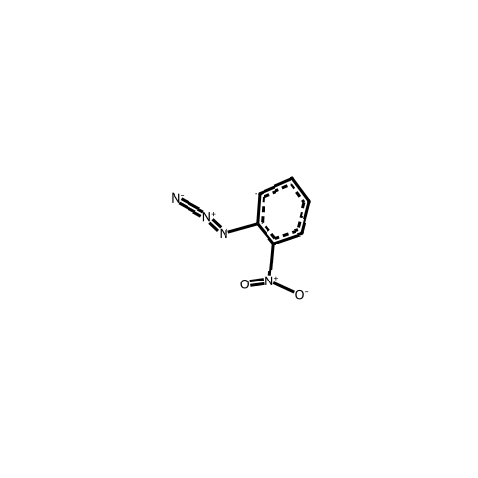 [N-]=[N+]=Nc1[c]cccc1[N+](=O)[O-]